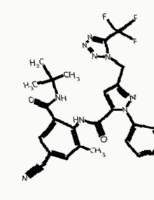 Cc1cc(C#N)cc(C(=O)NC(C)(C)C)c1NC(=O)c1cc(Cn2nnnc2C(F)(F)F)nn1-c1ccccc1Cl